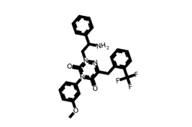 COc1cccc(-n2c(=O)c(Cc3ccccc3C(F)(F)F)nn(CC(N)c3ccccc3)c2=O)c1